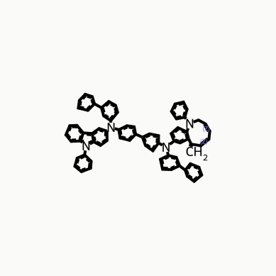 C=C1/C=C\C=C/CN(c2ccccc2)c2ccc(N(c3ccc(-c4ccc(N(c5cccc(-c6ccccc6)c5)c5ccc6c(c5)c5ccccc5n6-c5ccccc5)cc4)cc3)c3cccc(-c4ccccc4)c3)cc21